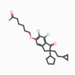 O=C(I)CCCCCOc1cc2c(c(Cl)c1Cl)C(=O)C(CCC1CC1)(C1CCCC1)C2